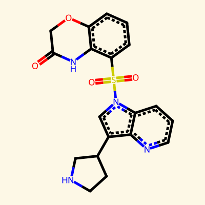 O=C1COc2cccc(S(=O)(=O)n3cc(C4CCNC4)c4ncccc43)c2N1